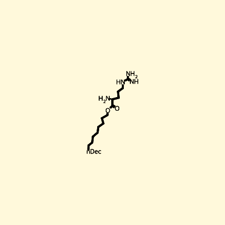 CCCCCCCCCCCCCCCCCCOC(=O)[C@@H](N)CCCNC(=N)N